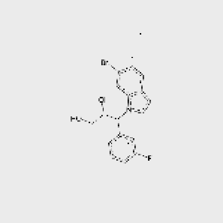 OCC(O)C(c1cccc(F)c1)n1ccc2ccc(Br)cc21